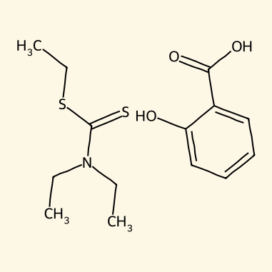 CCSC(=S)N(CC)CC.O=C(O)c1ccccc1O